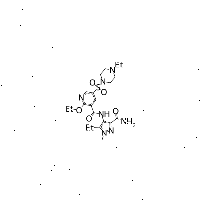 CCOc1ncc(S(=O)(=O)N2CCN(CC)CC2)cc1C(=O)Nc1c(C(N)=O)nn(C)c1CC